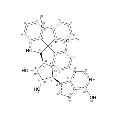 COc1ccccc1C(c1ccccc1)(c1ccccc1OC)C(O)[C@H]1O[C@@H](n2cnc3c(O)ncnc32)[C@H](O)[C@@H]1O